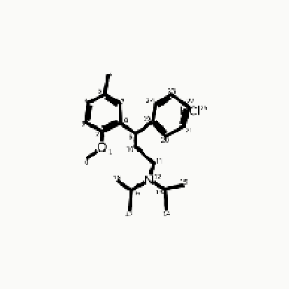 COc1ccc(C)cc1C(CCN(C(C)C)C(C)C)c1ccccc1.Cl